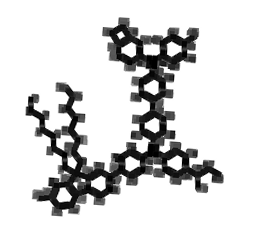 CCCCCCCCC1(CCCCCCCC)c2cc(C)ccc2-c2ccc(-c3ccc(N(c4ccc(-c5ccc(N(c6ccc(C)cc6)c6ccc7c(c6)CC7)cc5)cc4)c4ccc(C(C)CC)cc4)cc3)cc21